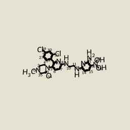 CN1CCN(c2ccc(NCCNc3ccc(N(O)O)c(N)n3)nc2-c2ccc(Cl)cc2Cl)C(=O)C1